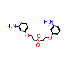 Nc1cccc(OCCS(=O)(=O)CCOc2cccc(N)c2)c1